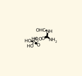 NC(=O)NC=O.O.O=P(O)(O)O